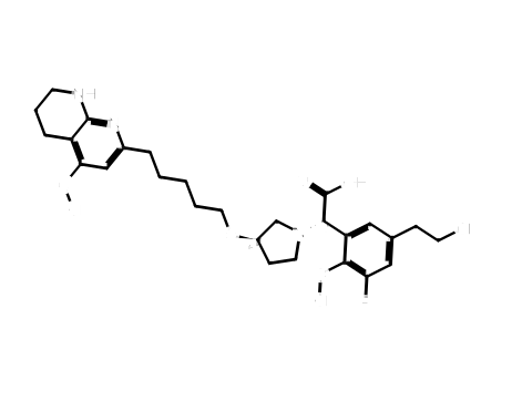 CCCc1cc(F)c(OC)c([C@@H](C(=O)O)N2CC[C@@H](OCCCCCc3cc(OC)c4c(n3)NCCC4)C2)c1